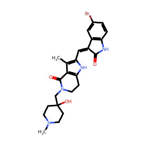 Cc1c(/C=C2\C(=O)Nc3ccc(Br)cc32)[nH]c2c1C(=O)N(CC1(O)CCN(C)CC1)CC2